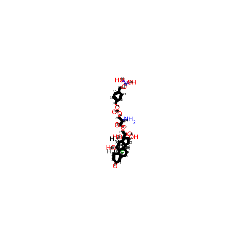 C[C@]12C=CC(=O)C=C1CC[C@H]1[C@@H]3C[C@@H](O)[C@](O)(C(=O)COC(=O)C(N)COC(=O)OCc4ccc(CON(O)O)cc4)[C@@]3(C)C[C@H](O)[C@@]12F